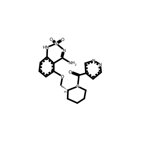 NC1=NS(=O)(=O)Nc2cccc(OC[C@H]3CCCCN3C(=O)c3ccnnc3)c21